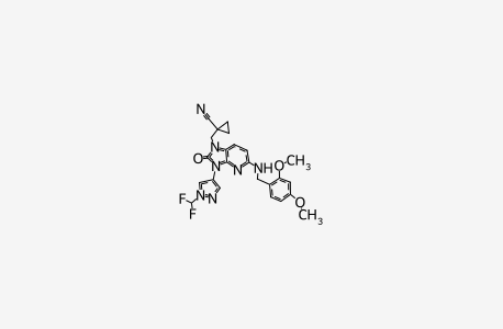 COc1ccc(CNc2ccc3c(n2)n(-c2cnn(C(F)F)c2)c(=O)n3CC2(C#N)CC2)c(OC)c1